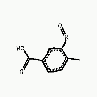 Cc1ccc(C(=O)O)cc1N=O